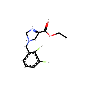 CCOC(=O)C1=NCN(Cc2cccc(F)c2F)C1